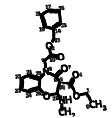 CCOC(=O)[C@@H]1C(=O)N(CC(=O)OCc2ccccc2)c2ccccc2OC1NC